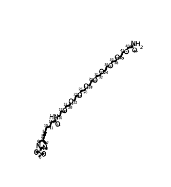 CS(=O)(=O)c1ncc(C#CCCCC(=O)NCCOCCOCCOCCOCCOCCOCCOCCOCCOCC(N)=O)cn1